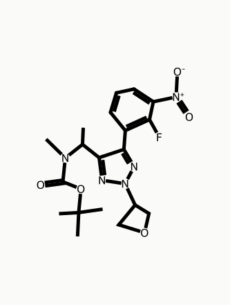 CC(c1nn(C2COC2)nc1-c1cccc([N+](=O)[O-])c1F)N(C)C(=O)OC(C)(C)C